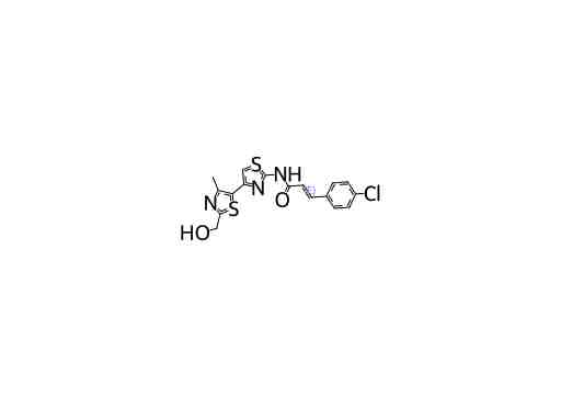 Cc1nc(CO)sc1-c1csc(NC(=O)/C=C/c2ccc(Cl)cc2)n1